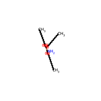 CCCCCCCCCCCCCCCCOC(=O)[C@@H](N)CSC[C@@H](COC(=O)CCCCCCCCCCCCCCC)OC(=O)CCCCCCCCCCCCCCC